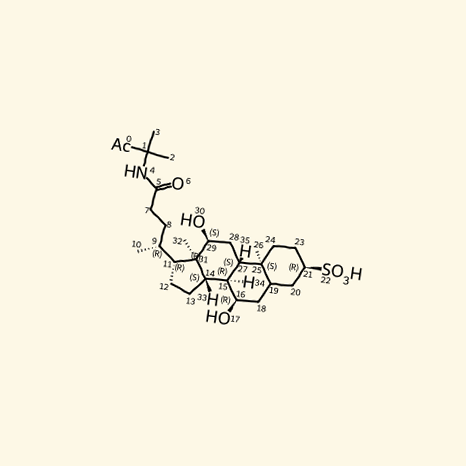 CC(=O)C(C)(C)NC(=O)CC[C@@H](C)[C@H]1CC[C@H]2[C@@H]3[C@H](O)CC4C[C@H](S(=O)(=O)O)CC[C@]4(C)[C@H]3C[C@H](O)[C@]12C